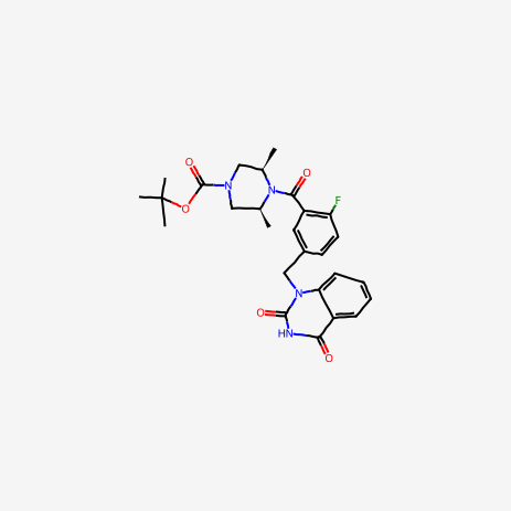 C[C@@H]1CN(C(=O)OC(C)(C)C)C[C@H](C)N1C(=O)c1cc(Cn2c(=O)[nH]c(=O)c3ccccc32)ccc1F